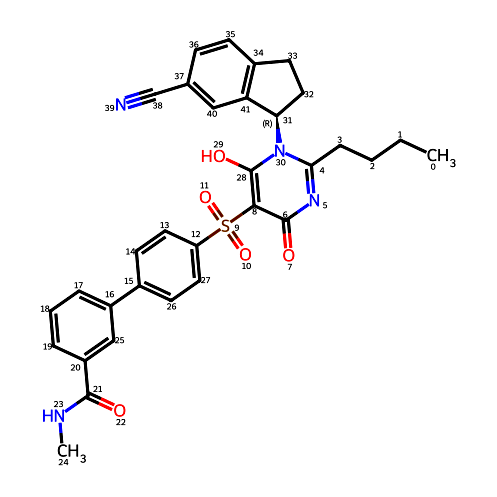 CCCCc1nc(=O)c(S(=O)(=O)c2ccc(-c3cccc(C(=O)NC)c3)cc2)c(O)n1[C@@H]1CCc2ccc(C#N)cc21